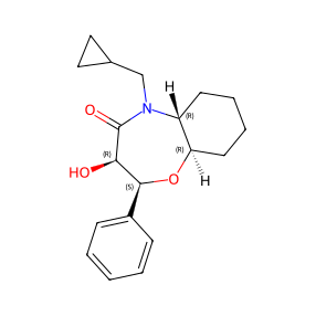 O=C1[C@H](O)[C@H](c2ccccc2)O[C@@H]2CCCC[C@H]2N1CC1CC1